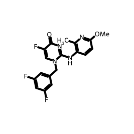 COc1ccc(Nc2nc(=O)c(F)cn2Cc2cc(F)cc(F)c2)c(C)n1